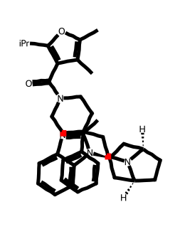 Cc1oc(C(C)C)c(C(=O)N2CCC(CCN3[C@@H]4CC[C@H]3C[C@@H](n3c(C)nc5ccccc53)C4)(c3ccccc3)CC2)c1C